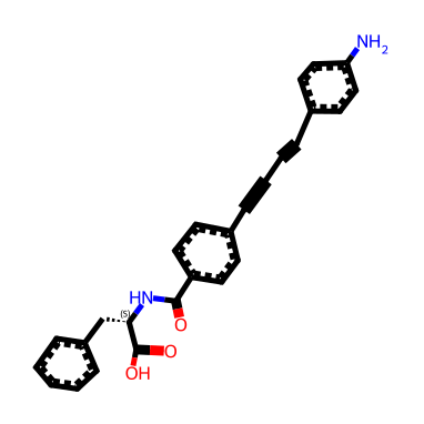 Nc1ccc(C#CC#Cc2ccc(C(=O)N[C@@H](Cc3ccccc3)C(=O)O)cc2)cc1